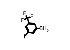 Bc1cc(I)cc(C(F)(F)F)c1